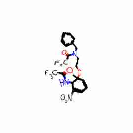 CC1(OCCN(Cc2ccccc2)C(=O)C(F)(F)F)C=CC=C([N+](=O)[O-])C1NC(=O)C(F)(F)F